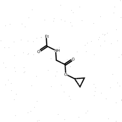 CCC(=O)NCC(=O)OC1CC1